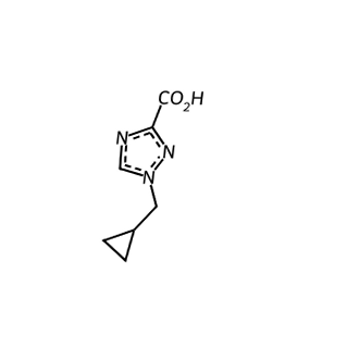 O=C(O)c1ncn(CC2CC2)n1